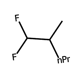 CCCC(C)C(F)F